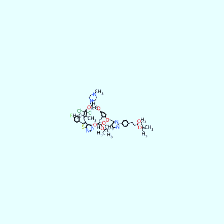 Cc1c(Cl)c2c(Cl)c(C)c1-c1c(-c3ccc(F)cc3)sc3ncnc(c13)O[C@@H](C(=O)OC(C)(C)C)Cc1cc(ccc1OCc1ccnc(-c3ccc(CCC(=O)OC(C)(C)C)cc3)n1)OC[C@@H](CN1CCN(C)CC1)O2